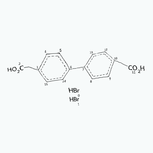 Br.Br.O=C(O)c1ccc(-c2ccc(C(=O)O)cc2)cc1